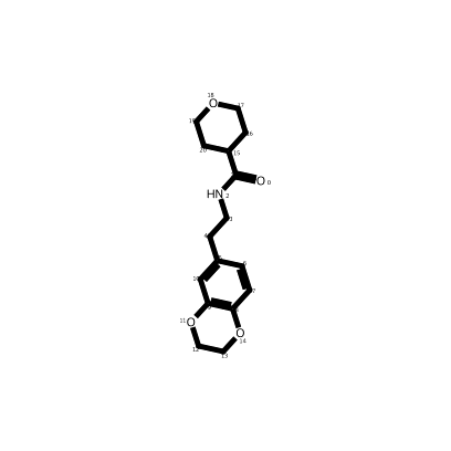 O=C(NCCc1ccc2c(c1)OCCO2)C1CCOCC1